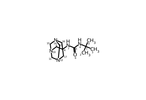 CC(C)(C)NC(=O)NC12CN3CN(CN(C3)C1)C2